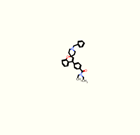 CCN(CC)C(=O)c1ccc(C2=CC3(CCN(Cc4ccccc4)CC3)Oc3ccccc32)cc1